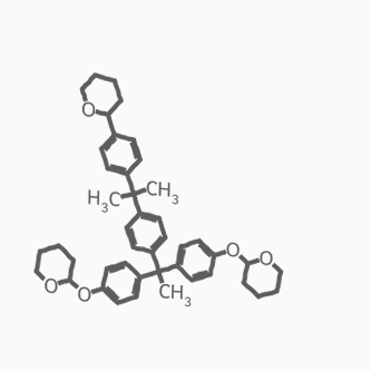 CC(C)(c1ccc(C2CCCCO2)cc1)c1ccc(C(C)(c2ccc(OC3CCCCO3)cc2)c2ccc(OC3CCCCO3)cc2)cc1